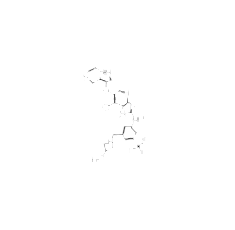 Cn1c(Nc2cc(CN3CC(O)C3)cc(C(F)(F)F)c2)nc2ncc(Oc3cnn4ccncc34)c(Cl)c21